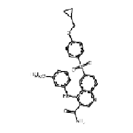 COc1cccc(Nc2c(C(N)=O)cnc3ccc(S(=O)(=O)c4ccc(OCC5CC5)cc4)cc23)c1.Cl